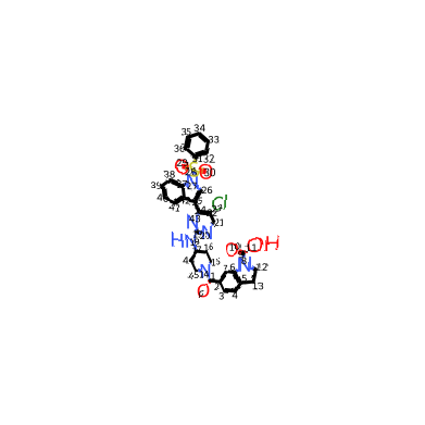 O=C(c1ccc2c(c1)N(C(=O)O)CC2)N1CCC(Nc2ncc(Cl)c(-c3cn(S(=O)(=O)c4ccccc4)c4ccccc34)n2)CC1